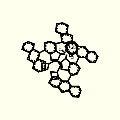 C[SiH](C)[Zr]([Cl])([Cl])([CH]1C(CC2CCC2)=Cc2c(-c3c4ccccc4cc4ccccc34)ccc(-c3c4ccccc4cc4ccccc34)c21)[CH]1C(CC2CCC2)=Cc2c(-c3c4ccccc4cc4ccccc34)ccc(-c3c4ccccc4cc4ccccc34)c21